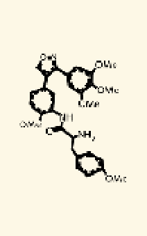 COc1ccc(CC(N)C(=O)Nc2cc(-c3conc3-c3cc(OC)c(OC)c(OC)c3)ccc2OC)cc1